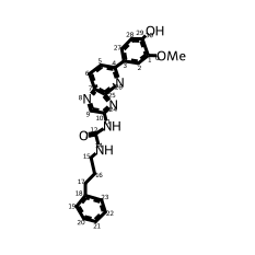 COc1cc(-c2ccc3ncc(NC(=O)NCCCc4ccccc4)nc3n2)ccc1O